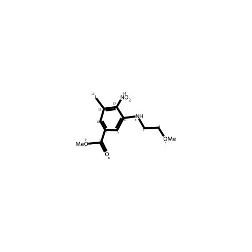 COCCNc1cc(C(=O)OC)cc(I)c1[N+](=O)[O-]